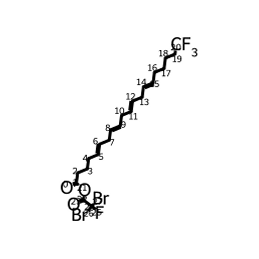 O=C(CCCC=CCC=CCC=CCC=CCCCCC(F)(F)F)OC(=O)C(F)(Br)Br